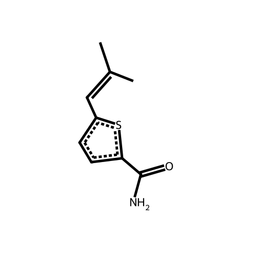 CC(C)=Cc1ccc(C(N)=O)s1